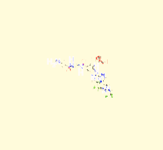 CCc1cc(Nc2nccn3c(-c4cn(CC(F)F)nc4C(F)(F)F)cnc23)ccc1C(=O)NCCNC(=O)C1CC(N)C1.O=CO